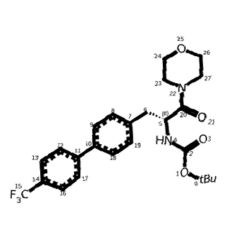 CC(C)(C)OC(=O)N[C@H](Cc1ccc(-c2ccc(C(F)(F)F)cc2)cc1)C(=O)N1CCOCC1